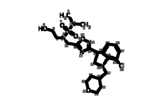 CN(C)S(=O)(=O)N(CCO)Cc1nc(C2CN(CC3CCOCC3)c3c(Cl)cccc32)no1